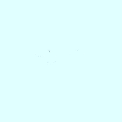 CCCOCCC1=NC(=S)SC1